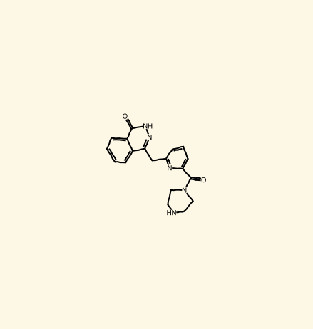 O=C(c1cccc(Cc2n[nH]c(=O)c3ccccc23)n1)N1CCNCC1